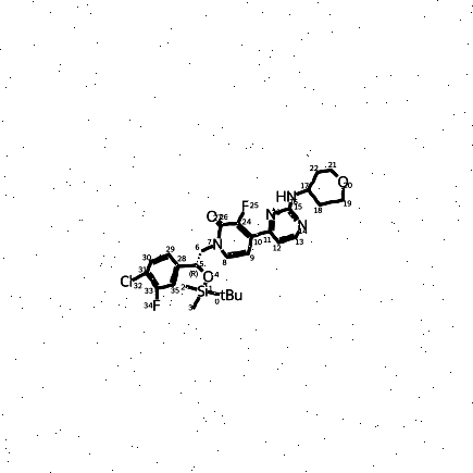 CC(C)(C)[Si](C)(C)O[C@@H](Cn1ccc(-c2ccnc(NC3CCOCC3)n2)c(F)c1=O)c1ccc(Cl)c(F)c1